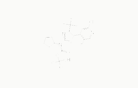 CC(C)(C)OC(=O)N(c1nc(C(F)(F)F)c(-c2cc(Cl)ncc2F)s1)C1CCCC1